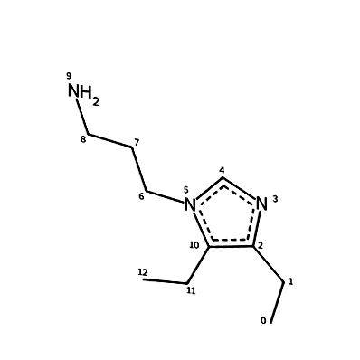 CCc1ncn(CCCN)c1CC